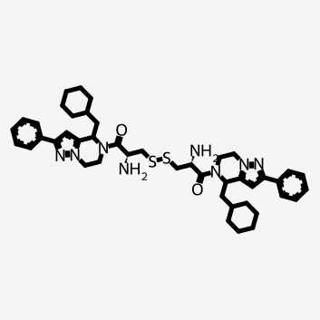 N[C@@H](CSSC[C@H](N)C(=O)N1CCn2nc(-c3ccccc3)cc2C1CC1CCCCC1)C(=O)N1CCn2nc(-c3ccccc3)cc2C1CC1CCCCC1